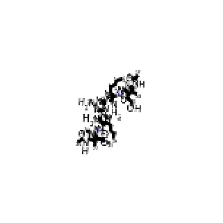 CCCCc1nn(-c2nc(N)nc(-n3nc(CCCC)c(/N=N/c4c(C(=O)OC)c(C)c(NC(C)=O)n4C)c3N)n2)c(N)c1/N=N/c1c(C(=O)CO)c(C)c(NC(C)=O)n1C